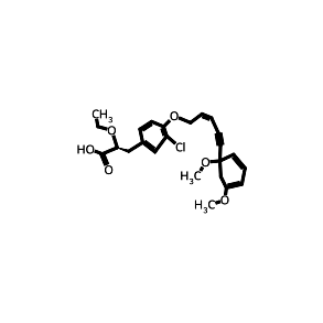 CCO[C@@H](Cc1ccc(OC/C=C\C#CC2(OC)C=CC=C(OC)C2)c(Cl)c1)C(=O)O